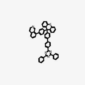 c1ccc(-c2nc(-c3ccccc3)nc(-c3ccc(-c4ccc(C5(c6ccc(-c7cccc8ccncc78)cc6)c6ccccc6Sc6ccccc65)cc4)cc3)n2)cc1